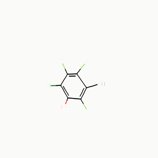 Cc1c(F)c(O)c(Cl)c(F)c1F